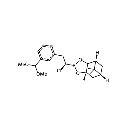 COC(OC)c1ccnc(C[C@H](Cl)B2OC3[C@@H]4C[C@H](C[C@]3(C)O2)C4(C)C)c1